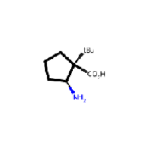 CC(C)(C)[C@]1(C(=O)O)CCC[C@@H]1N